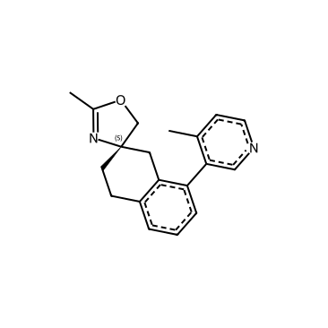 CC1=N[C@]2(CCc3cccc(-c4cnccc4C)c3C2)CO1